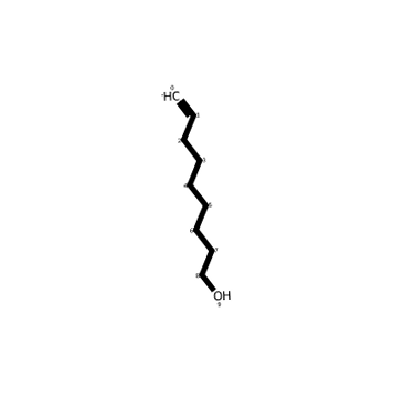 [CH]=CCCCCCCCO